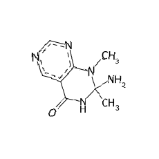 CN1c2ncncc2C(=O)NC1(C)N